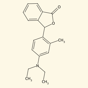 CCN(CC)c1ccc(C2OC(=O)c3ccccc32)c(C)c1